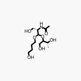 CC(=O)N[C@@H](CO)C(OCCCCO)OC(CO)[C@@H](C)O